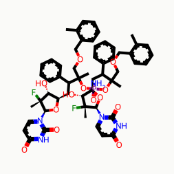 Cc1ccccc1COCC(C)(OP(N)(=O)OC(C)(COCc1ccccc1C)C(C[C@H]1O[C@@H](n2ccc(=O)[nH]c2=O)[C@](C)(F)[C@@H]1O)c1ccccc1)C(C[C@H]1O[C@@H](n2ccc(=O)[nH]c2=O)[C@](C)(F)[C@@H]1O)c1ccccc1